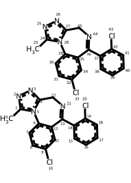 Cc1nnc2n1-c1ccc(Cl)cc1C(c1ccccc1Cl)=NC2.Cc1nnc2n1-c1ccc(Cl)cc1C(c1ccccc1Cl)=NC2